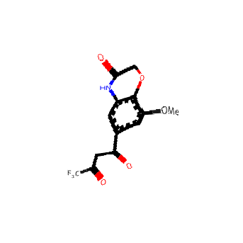 COc1cc(C(=O)CC(=O)C(F)(F)F)cc2c1OCC(=O)N2